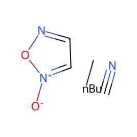 C#N.CCCCC.[O-][n+]1ccno1